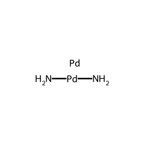 [NH2][Pd][NH2].[Pd]